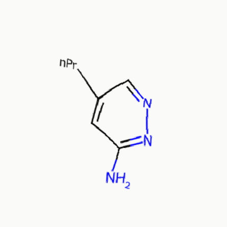 CCCc1cnnc(N)c1